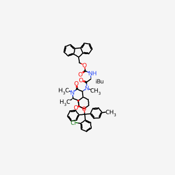 CC[C@H](C)[C@H](NC(=O)OCC1c2ccccc2-c2ccccc21)C(=O)N(C)[C@H](C(=O)N(C)[C@H](C)CC(=O)OC(c1ccccc1)(c1ccc(C)cc1)c1ccccc1Cl)C1CCCCC1